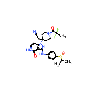 CC(C)[S+]([O-])c1ccc(Nc2nn(C3(CC#N)CCN(C(=O)C(C)(F)F)CC3)c3cc[nH]c(=O)c23)cc1